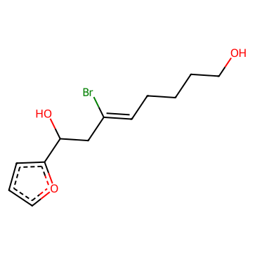 OCCCC/C=C(\Br)CC(O)c1ccco1